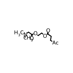 CC(=O)CCC(=O)OCCOC(=O)CN(C)C